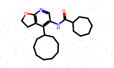 O=C(Nc1cnc2c(c1C1CCCCCCCC1)CCO2)C1CCCCCC1